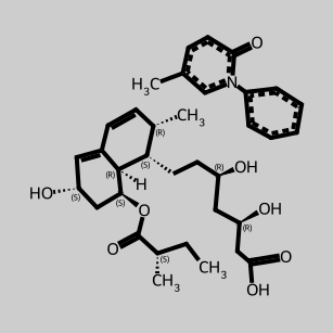 CC[C@H](C)C(=O)O[C@H]1C[C@H](O)C=C2C=C[C@H](C)[C@H](CC[C@@H](O)C[C@@H](O)CC(=O)O)[C@H]21.Cc1ccc(=O)n(-c2ccccc2)c1